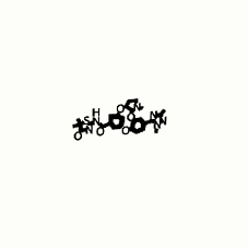 Cc1nc(-c2ccc(Oc3cc(OC4CCN(C)C4=O)cc(C(=O)NC4=NC(=O)C(C)(C)S4)c3)cc2)n(C)n1